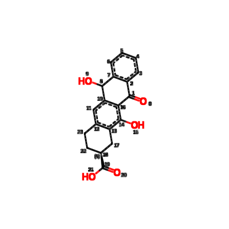 O=C1c2ccccc2C(O)c2cc3c(c(O)c21)C[C@@H](C(=O)O)CC3